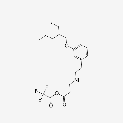 CCCC(CCC)COc1cccc(CCNCCC(=O)OC(=O)C(F)(F)F)c1